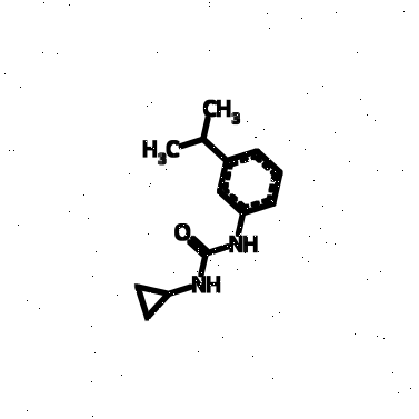 CC(C)c1cccc(NC(=O)NC2CC2)c1